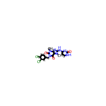 Cn1c(Nc2cc[nH]c(=O)n2)nc2c1c(=O)n(Cc1ccc(Cl)c(Cl)c1)c(=O)n2C